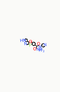 NC(=O)C(C(=O)Nc1ccncc1)c1ccc(Oc2ccnc3[nH]ccc23)c(F)c1